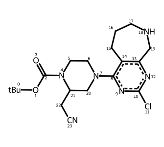 CC(C)(C)OC(=O)N1CCN(c2nc(Cl)nc3c2CCCNC3)CC1CC#N